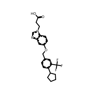 O=C(O)CCn1cnc2cc(OCc3ccc(C4CCCC4)c(C(F)(F)F)c3)ccc21